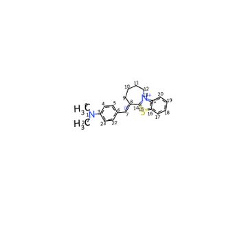 CN(C)c1ccc(/C=C2\CCCC[n+]3c2sc2ccccc23)cc1